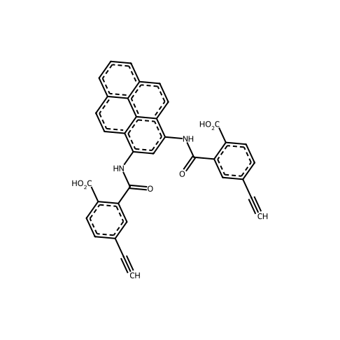 C#Cc1ccc(C(=O)O)c(C(=O)Nc2cc(NC(=O)c3cc(C#C)ccc3C(=O)O)c3ccc4cccc5ccc2c3c54)c1